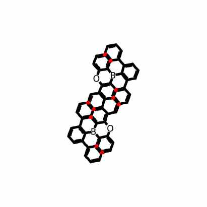 c1ccc(-c2cccc(-c3ccccc3)c2B2c3ccccc3Oc3c2cc2ccc4c5c(cc6ccc3c2c64)B(c2c(-c3ccccc3)cccc2-c2ccccc2)c2ccccc2O5)cc1